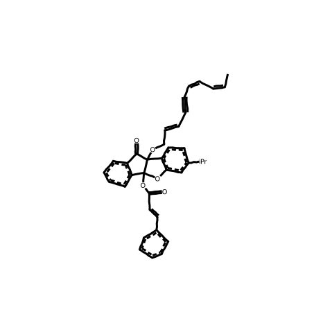 C/C=C\C=C/C#C/C=C/COC12C(=O)c3ccccc3C1(OC(=O)/C=C/c1ccccc1)Oc1cc(C(C)C)ccc12